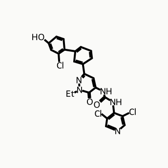 CCn1nc(-c2cccc(-c3ccc(O)cc3Cl)c2)cc(NC(=O)Nc2c(Cl)cncc2Cl)c1=O